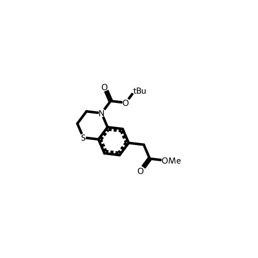 COC(=O)Cc1ccc2c(c1)N(C(=O)OC(C)(C)C)CCS2